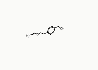 C=COCCc1ccc(CO)cc1